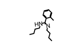 CCCCN=C(NCCCC)c1ccccc1C